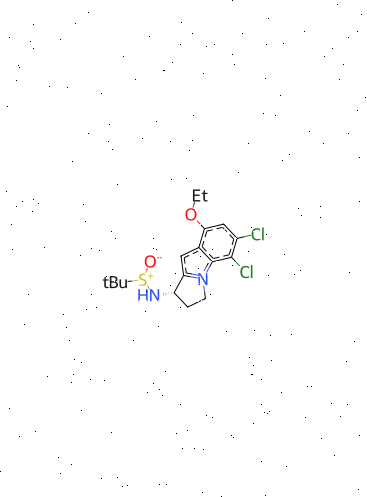 CCOc1cc(Cl)c(Cl)c2c1cc1n2CC[C@@H]1N[S+]([O-])C(C)(C)C